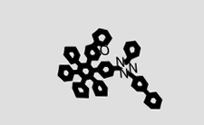 c1ccc(-c2ccc(-c3nc(-c4ccccc4)nc(-c4ccc(-c5c(-c6ccccc6)c(-c6ccccc6)c(-c6ccccc6)c(-c6ccccc6)c5-c5ccc6c(c5)oc5ccccc56)cc4)n3)cc2)cc1